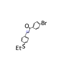 CCSc1ccc(/C=C/C(=O)c2ccc(Br)cc2)cc1